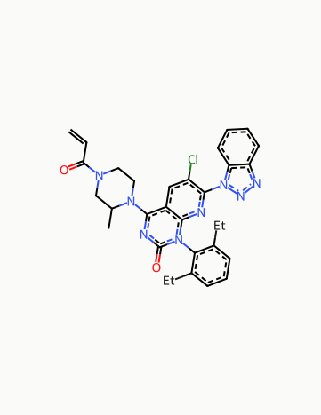 C=CC(=O)N1CCN(c2nc(=O)n(-c3c(CC)cccc3CC)c3nc(-n4nnc5ccccc54)c(Cl)cc23)C(C)C1